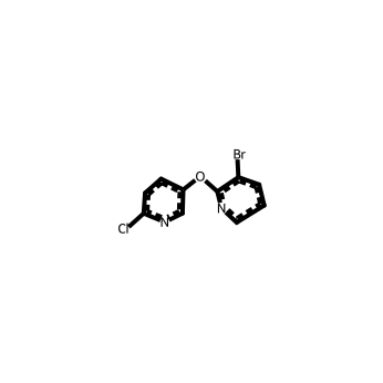 Clc1ccc(Oc2ncccc2Br)cn1